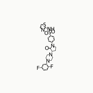 O=C1[C@@H](N2CCN(c3cc(F)ccc3F)CC2)CCN1c1ccc(S(=O)(=O)Nc2nccs2)cc1